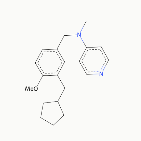 COc1ccc(CN(C)c2ccncc2)cc1CC1CCCC1